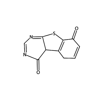 O=C1C=CCC2=C1SC1=NC=NC(=O)C12